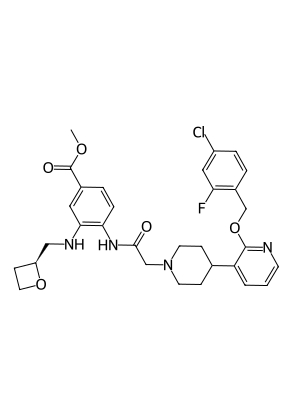 COC(=O)c1ccc(NC(=O)CN2CCC(c3cccnc3OCc3ccc(Cl)cc3F)CC2)c(NC[C@@H]2CCO2)c1